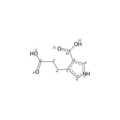 O=C(O)CCc1[c][nH]cc1C(=O)O